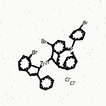 Brc1ccc(-p2c3ccc(cc3)c3cc4c(c(Br)ccc42)[CH]3[Zr+2][CH]2C(c3ccccc3)=Cc3cccc(Br)c32)cc1.[Cl-].[Cl-]